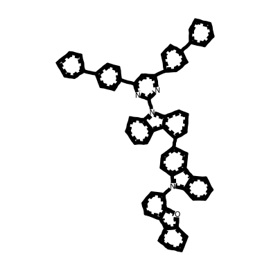 c1ccc(-c2ccc(-c3cc(-c4ccc(-c5ccccc5)cc4)nc(-n4c5ccccc5c5c(-c6ccc7c(c6)c6ccccc6n7-c6cccc7c6oc6ccccc67)cccc54)n3)cc2)cc1